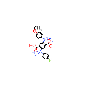 COc1ccc(N(N)c2cc(C(=O)O)c(N(N)c3ccc(F)cc3)cc2C(=O)O)cc1